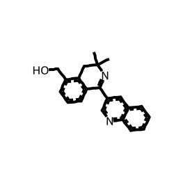 CC1(C)Cc2c(CO)cccc2C(c2cnc3ccccc3c2)=N1